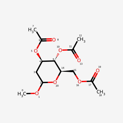 COC1C[C@@H](OC(C)=O)[C@H](OC(C)=O)[C@@H](COC(C)=O)O1